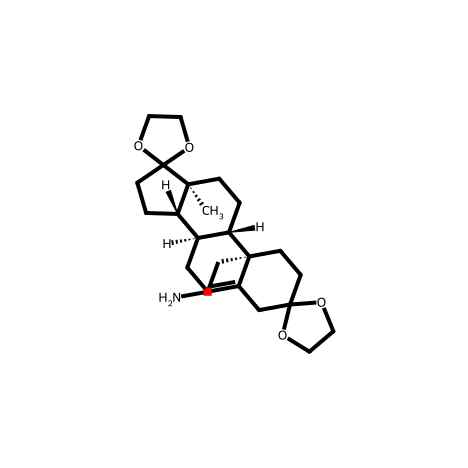 C[C@]12CC[C@H]3[C@@H](CC=C4CC5(CC[C@@]43CCN)OCCO5)[C@@H]1CCC21OCCO1